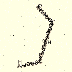 CNCCOCCOCCOCCOCC(C)COCCOCCOCCOCCNC(=O)CCOCCOCCOCCOCC(C)COCCOCCOCCOCCC(C)=O